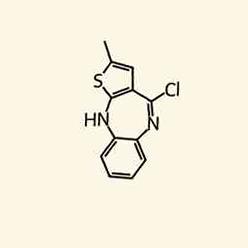 Cc1cc2c(s1)Nc1ccccc1N=C2Cl